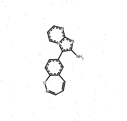 Nc1nc2ncccn2c1-c1ccc2c(c1)C=CC=NO2